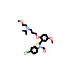 COCCN(CCCOc1ccc(OC)cc1C1Sc2cc(Cl)ccc2N1C=O)C(C)C